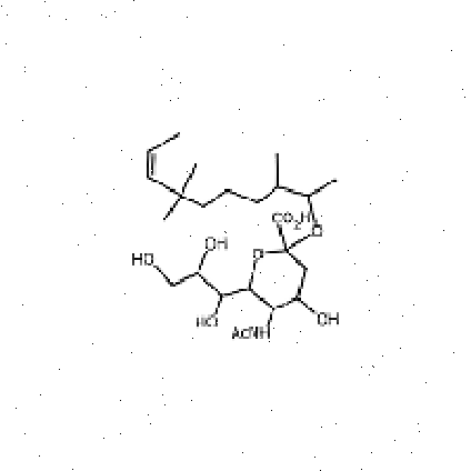 C/C=C\C(C)(C)CCCC(C)C(C)OC1(C(=O)O)CC(O)C(NC(C)=O)C(C(O)C(O)CO)O1